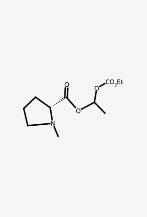 CCOC(=O)OC(C)OC(=O)[C@H]1CCCN1C